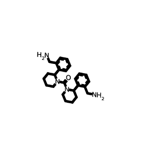 NCc1ccccc1C1CCCCN1C(=O)N1CCCCC1c1ccccc1CN